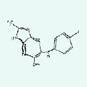 COc1nc2[nH]c(C(F)(F)F)nc2nc1Nc1ccc(I)cc1